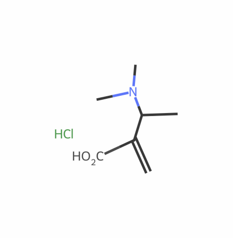 C=C(C(=O)O)C(C)N(C)C.Cl